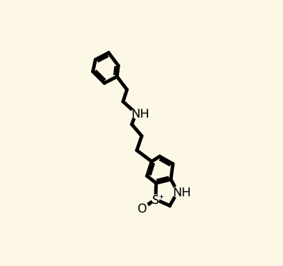 [O-][S+]1CNc2ccc(CCCNCCc3ccccc3)cc21